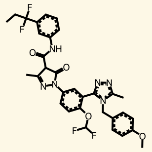 CCC(F)(F)c1cccc(NC(=O)C2C(=O)N(c3ccc(OC(F)F)c(-c4nnc(C)n4Cc4ccc(OC)cc4)c3)N=C2C)c1